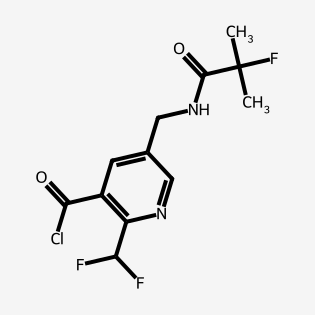 CC(C)(F)C(=O)NCc1cnc(C(F)F)c(C(=O)Cl)c1